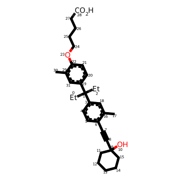 CCC(CC)(c1ccc(C#CC2(O)CCCCC2)c(C)c1)c1ccc(OCCCCC(=O)O)c(C)c1